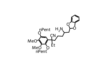 CCCCCOc1cc(C(C#N)(CC)CCCC(N)CC2Oc3ccccc3O2)c(OCCCCC)c(OC)c1OC